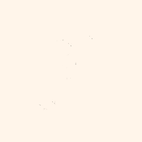 C[C@@H]1CCCN1CCCOc1ccc(N2C(=O)CCC2CN2CCCC2)cc1